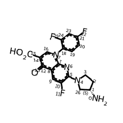 N[C@H]1CCN(c2nc3c(cc2F)c(=O)c(C(=O)O)cn3-c2ccc(F)cc2F)C1